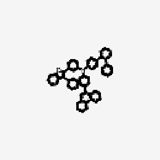 c1ccc(-c2ccccc2-c2ccc(N(c3ccc(-c4cc5ccccc5c5ccccc45)cc3)c3cccc(-c4oc5ccccc5c4-c4ccccc4)c3)cc2)cc1